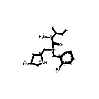 CCC(C)[C@H](N)C(=O)N(Cc1ccccc1O)CC1CC(S)CN1